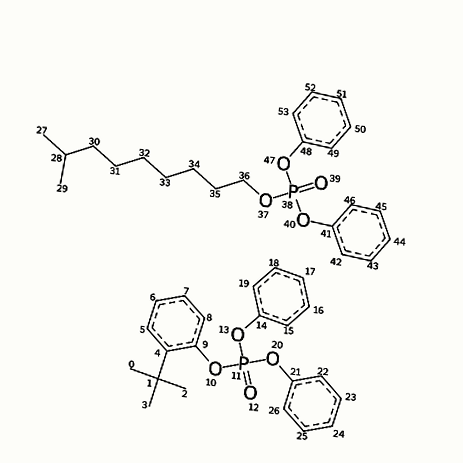 CC(C)(C)c1ccccc1OP(=O)(Oc1ccccc1)Oc1ccccc1.CC(C)CCCCCCCOP(=O)(Oc1ccccc1)Oc1ccccc1